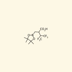 CC1(C)OB(CC(C(=O)O)C(C(F)(F)F)C(F)(F)F)OC1(C)C